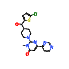 Cn1c(N2CCC(C(=O)c3ccc(Cl)s3)CC2)nc(-c2ccncn2)cc1=O